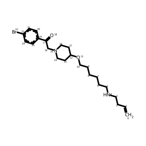 C=CCCNCCCCCCOC1CCN(CC(=O)c2ccc(Br)cc2)CC1